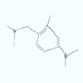 Cc1c[c]([Bi]([CH3])[CH3])ccc1CN(C)C